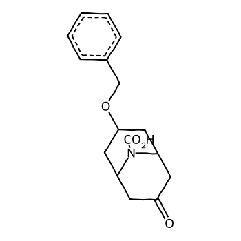 O=C1CC2CC(OCc3ccccc3)CC(C1)N2C(=O)O